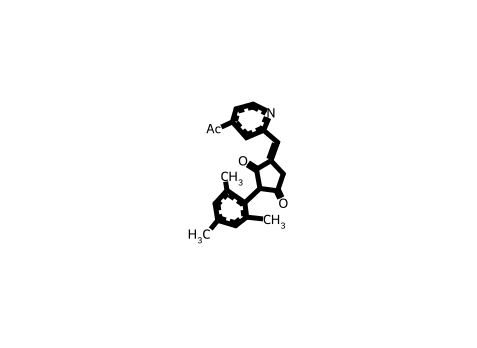 CC(=O)c1ccnc(C=C2CC(=O)C(c3c(C)cc(C)cc3C)C2=O)c1